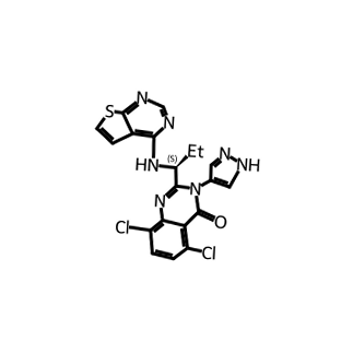 CC[C@H](Nc1ncnc2sccc12)c1nc2c(Cl)ccc(Cl)c2c(=O)n1-c1cn[nH]c1